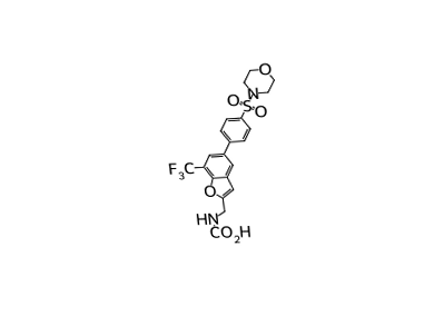 O=C(O)NCc1cc2cc(-c3ccc(S(=O)(=O)N4CCOCC4)cc3)cc(C(F)(F)F)c2o1